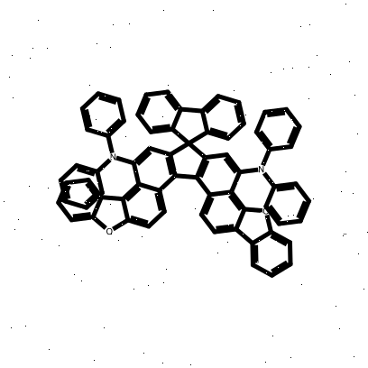 c1ccc(N(c2ccccc2)c2cc3c(c4ccc5c6ccccc6oc5c24)-c2c(cc(N(c4ccccc4)c4ccccc4)c4c2ccc2oc5ccccc5c24)C32c3ccccc3-c3ccccc32)cc1